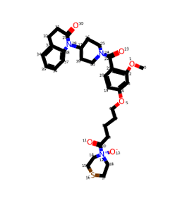 COc1cc(OCCCCC(=O)[N+]2([O-])CCSCC2)ccc1C(=O)N1CCC(N2C(=O)CCc3ccccc32)CC1